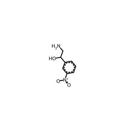 NCC(O)c1cccc([N+](=O)[O-])c1